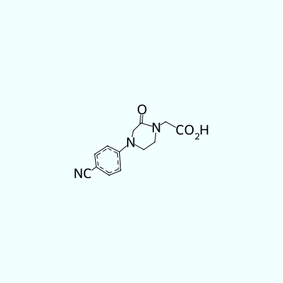 N#Cc1ccc(N2CCN(CC(=O)O)C(=O)C2)cc1